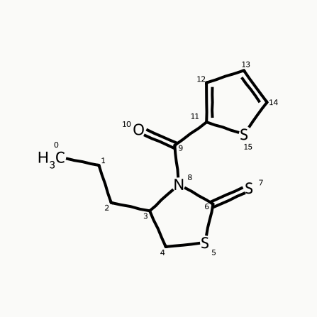 CCCC1CSC(=S)N1C(=O)c1cccs1